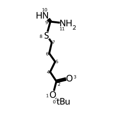 CC(C)(C)OC(=O)CCCCSC(=N)N